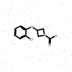 O=C(Cl)N1CC(Oc2ccccc2Cl)C1